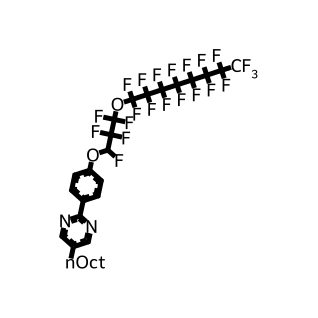 CCCCCCCCc1cnc(-c2ccc(OC(F)C(F)(F)C(F)(F)OC(F)(F)C(F)(F)C(F)(F)C(F)(F)C(F)(F)C(F)(F)C(F)(F)C(F)(F)F)cc2)nc1